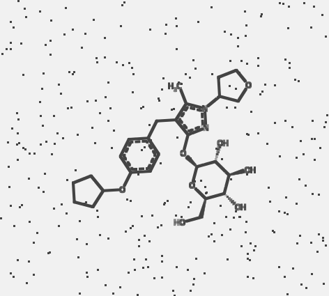 Cc1c(Cc2ccc(OC3CCCC3)cc2)c(O[C@@H]2O[C@H](CO)[C@@H](O)[C@H](O)[C@H]2O)nn1C1CCOC1